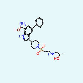 C[C@H](O)CNCCS(=O)(=O)N1CCC(c2c[nH]c3c(C(N)=O)cc(-c4ccccc4)cc23)CC1